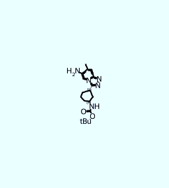 Cc1cc2nnc([C@H]3CCC[C@@H](NC(=O)OC(C)(C)C)C3)n2cc1N